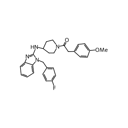 COc1ccc(CC(=O)N2CCC(Nc3nc4ccccc4n3Cc3ccc(F)cc3)CC2)cc1